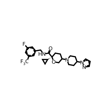 O=C(NCc1cc(F)cc(C(F)(F)F)c1)[C@@]1(C2CC2)CCC(N2CCC(n3cccn3)CC2)CO1